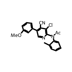 COc1cccc(-c2cnc(N(C(C)=O)c3ccccc3C)c(Cl)c2C#N)c1